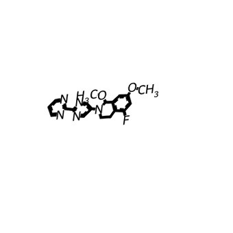 COc1cc(F)c2c(c1)C(OC)N(c1cnc(-c3ncccn3)nc1)CC2